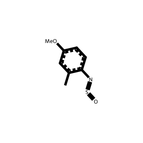 COc1ccc(N=S=O)c(C)c1